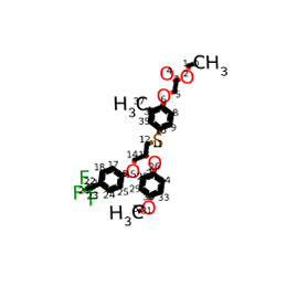 CCOC(=O)COc1ccc(SCC(COc2ccc(C(F)(F)F)cc2)Oc2ccc(OC)cc2)cc1C